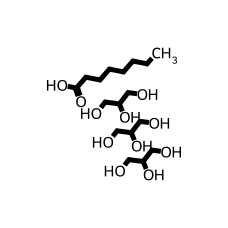 CCCCCCCC(=O)O.OCC(O)CO.OCC(O)CO.OCC(O)CO